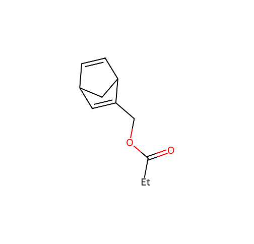 CCC(=O)OCC1=CC2C=CC1C2